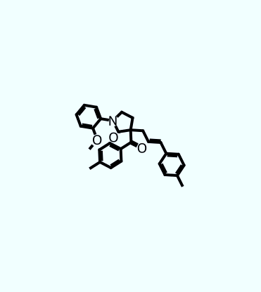 COc1ccccc1N1CCC(CC=Cc2ccc(C)cc2)(C(=O)c2ccc(C)cc2)C1=O